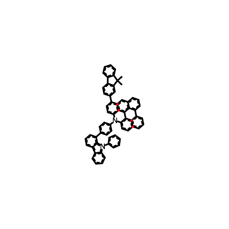 CC1(C)c2ccccc2-c2ccc(-c3ccc(N(c4ccc(-c5cccc6c7ccccc7n(-c7ccccc7)c56)cc4)c4ccccc4-c4cccc5cccc(-c6ccccc6)c45)cc3)cc21